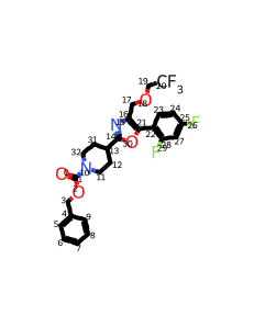 O=C(OCc1ccccc1)N1CCC(c2nc(COCC(F)(F)F)c(-c3ccc(F)cc3F)o2)CC1